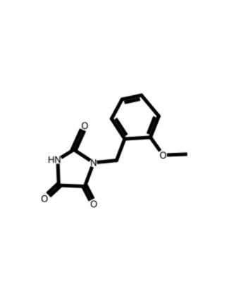 COc1ccccc1CN1C(=O)NC(=O)C1=O